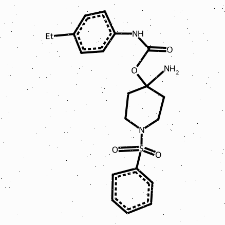 CCc1ccc(NC(=O)OC2(N)CCN(S(=O)(=O)c3ccccc3)CC2)cc1